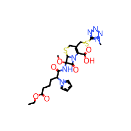 CCOC(=O)CCCC(C(=O)NC1(OC)C(=O)N2C(C(=O)O)=C(CSc3nnnn3C)CSC21)n1cccc1